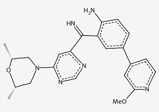 COc1cc(-c2ccc(N)c(C(=N)c3cc(N4C[C@@H](C)O[C@@H](C)C4)ncn3)c2)ccn1